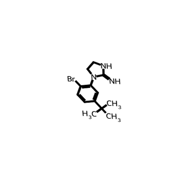 CC(C)(C)c1ccc(Br)c(N2CCNC2=N)c1